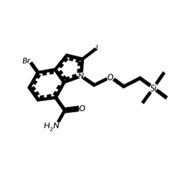 C[Si](C)(C)CCOCn1c(I)cc2c(Br)ccc(C(N)=O)c21